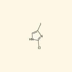 Clc1nc(I)c[nH]1